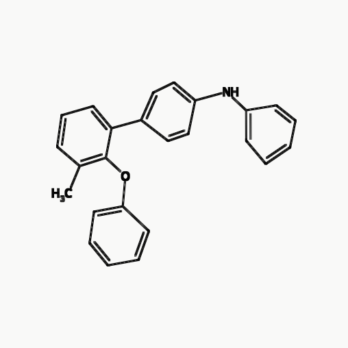 Cc1cccc(-c2ccc(Nc3ccccc3)cc2)c1Oc1ccccc1